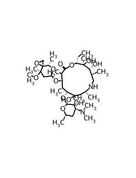 CC[C@H]1OC(=O)C(C)[C@H](OC2C[C@@](C)(OC)[C@@]3(CO3)[C@H](C)O2)[C@H](C)[C@@H](O[C@@H]2O[C@H](C)C[C@H](N(C)C)[C@H]2O)[C@@](C)(O)C[C@@H](C)NC[C@H](C)[C@@H](O)[C@]1(C)O